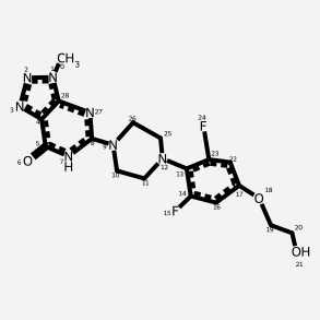 Cn1nnc2c(=O)[nH]c(N3CCN(c4c(F)cc(OCCO)cc4F)CC3)nc21